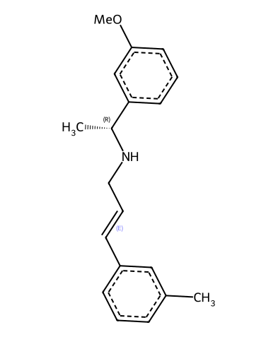 COc1cccc([C@@H](C)NC/C=C/c2cccc(C)c2)c1